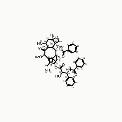 CC(=O)O[C@H]1C(=O)[C@@]2(C)[C@H]([C@H](OC(=O)c3ccccc3)[C@]3(O)C[C@H](OC(=O)[C@H](O)[C@@H](NC(=O)c4ccccc4)c4ccccc4)C(C)=C1C3(C)C)[C@]1(OC(C)=O)CO[C@@H]1C[C@@H]2O.N